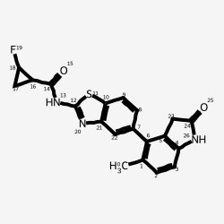 Cc1ccc2c(c1-c1ccc3sc(NC(=O)C4CC4F)nc3c1)CC(=O)N2